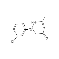 CC1=CC(=O)C[C@@H](c2cccc(Cl)c2)N1